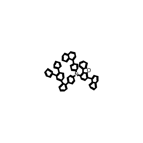 c1ccc(-c2ccc(-c3ccccc3-c3ccc(N(c4ccc(-c5cccc6ccccc56)cc4)c4ccc(-c5cccc6ccccc56)c5oc6ccccc6c45)cc3)cc2-c2ccccc2)cc1